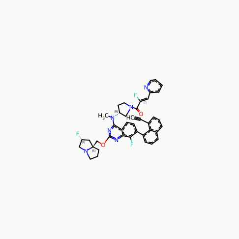 C#Cc1cccc2cccc(-c3ccc4c(N(C)[C@@H]5CCN(C(=O)/C(F)=C/c6ccccn6)C5)nc(OC[C@@]56CCCN5C[C@H](F)C6)nc4c3F)c12